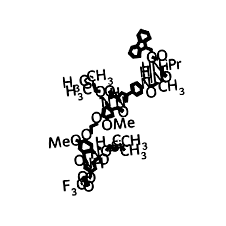 COc1cc2c(cc1OCCCOc1cc3c(cc1OC)C(=O)N1C=C(c4ccc(NC(=O)[C@H](C)NC(=O)[C@@H](NC(=O)OCC5c6ccccc6-c6ccccc65)C(C)C)cc4)C[C@H]1C(=O)N3COCC[Si](C)(C)C)N(COCC[Si](C)(C)C)C(=O)[C@@H]1CC(OS(=O)(=O)C(F)(F)F)=CN1C2=O